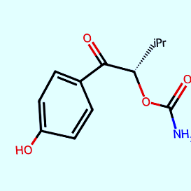 CC(C)[C@H](OC(N)=O)C(=O)c1ccc(O)cc1